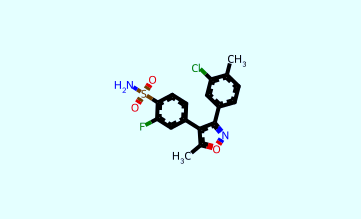 Cc1ccc(-c2noc(C)c2-c2ccc(S(N)(=O)=O)c(F)c2)cc1Cl